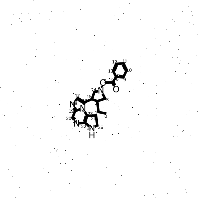 CCC1CN(OC(=O)c2ccccc2)CC1c1cnc2cnc3c(n12)CCN3